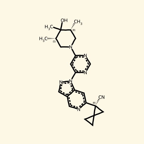 C[C@@H]1CN(c2cc(-n3ncc4cnc([C@@]5(C#N)CC56CC6)cc43)ncn2)C[C@H](C)C1(C)O